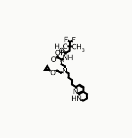 CC(C)(CC(=O)N[C@@H](CCN(CCCCc1ccc2c(n1)NCCC2)CCOC1CC1)C(=O)O)C(F)F